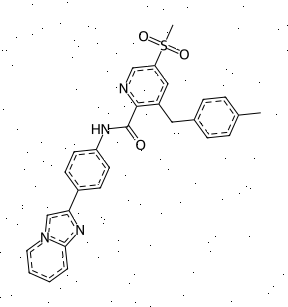 Cc1ccc(Cc2cc(S(C)(=O)=O)cnc2C(=O)Nc2ccc(-c3cn4ccccc4n3)cc2)cc1